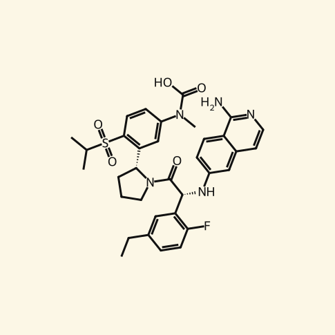 CCc1ccc(F)c([C@@H](Nc2ccc3c(N)nccc3c2)C(=O)N2CCC[C@@H]2c2cc(N(C)C(=O)O)ccc2S(=O)(=O)C(C)C)c1